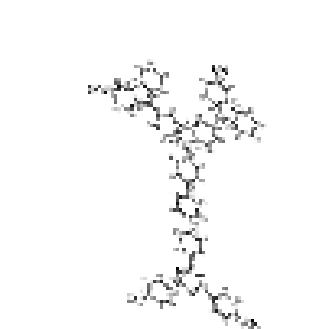 N#Cc1ccc(-c2cc(-c3ccc(-c4ccc(-c5ccc(-n6c7ccc(-n8c9ccccc9c9cc(C#N)ccc98)cc7c7cc(-n8c9ccccc9c9cc(C#N)ccc98)ccc76)cc5)cc4)cc3)nc(-c3ccc(C#N)cc3)n2)cc1